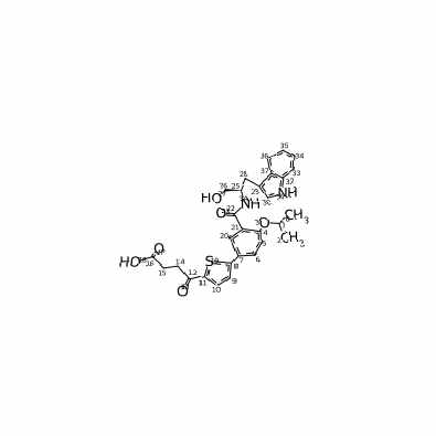 CC(C)Oc1ccc(-c2ccc(C(=O)CCC(=O)O)s2)cc1C(=O)N[C@@H](CO)Cc1c[nH]c2ccccc12